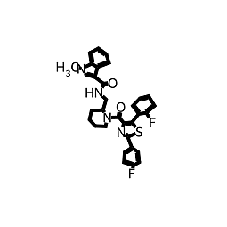 Cn1cc(C(=O)NCC2CCCCN2C(=O)c2nc(-c3ccc(F)cc3)sc2-c2ccccc2F)c2ccccc21